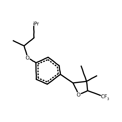 CC(C)CC(C)Oc1ccc(C2OC(C(F)(F)F)C2(C)C)cc1